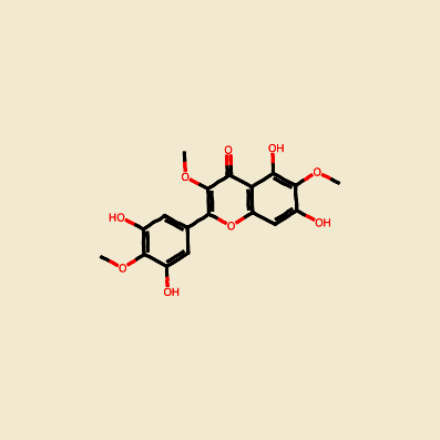 COc1c(O)cc(-c2oc3cc(O)c(OC)c(O)c3c(=O)c2OC)cc1O